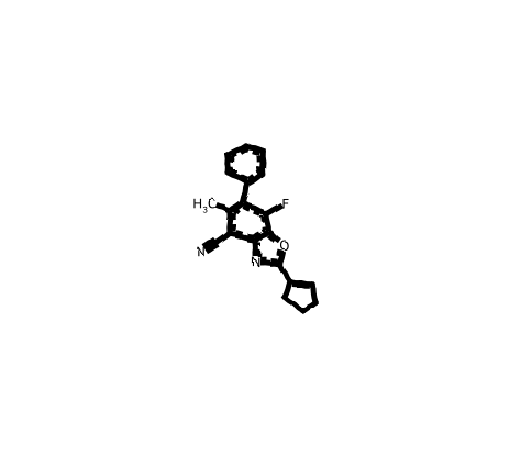 Cc1c(-c2ccccc2)c(F)c2oc(C3=CCCC3)nc2c1C#N